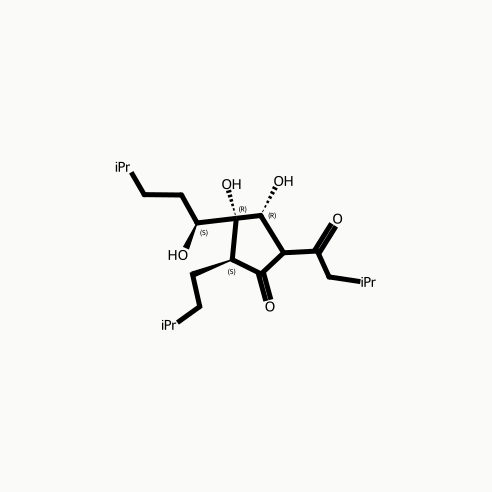 CC(C)CC[C@@H]1C(=O)C(C(=O)CC(C)C)[C@@H](O)[C@]1(O)[C@@H](O)CCC(C)C